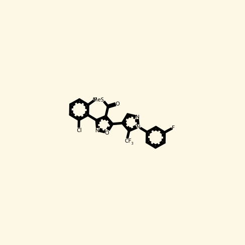 CSC(=O)c1c(-c2c(F)cccc2Cl)noc1-c1cnn(-c2cccc(F)c2)c1C(F)(F)F